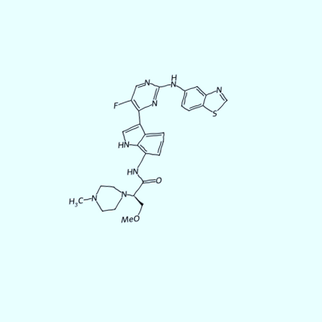 COC[C@H](C(=O)Nc1cccc2c(-c3nc(Nc4ccc5scnc5c4)ncc3F)c[nH]c12)N1CCN(C)CC1